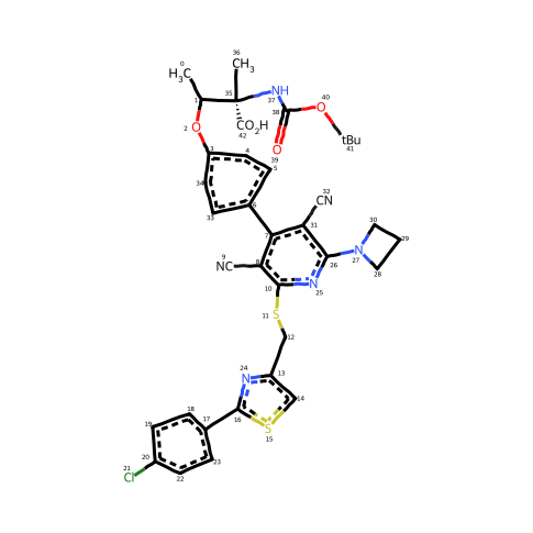 CC(Oc1ccc(-c2c(C#N)c(SCc3csc(-c4ccc(Cl)cc4)n3)nc(N3CCC3)c2C#N)cc1)[C@@](C)(NC(=O)OC(C)(C)C)C(=O)O